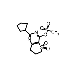 O=S1(=O)CCCc2nc(C3CCCC3)nc(OS(=O)(=O)C(F)(F)F)c21